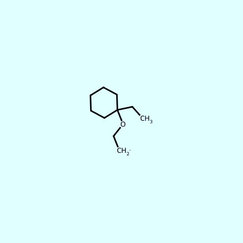 [CH2]COC1(CC)CCCCC1